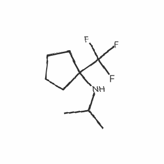 CC(C)NC1(C(F)(F)F)CCCC1